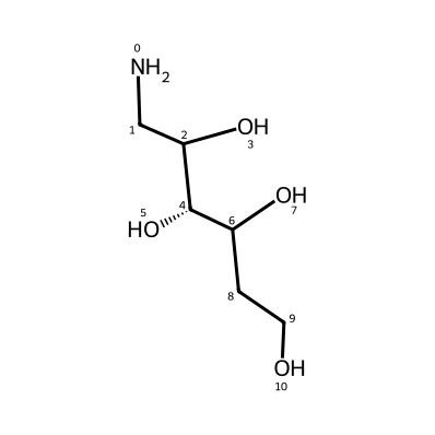 NCC(O)[C@@H](O)C(O)CCO